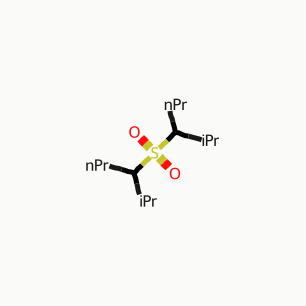 CCCC(C(C)C)S(=O)(=O)C(CCC)C(C)C